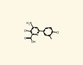 Cc1cc(-c2cc(N)c(Cl)c(C(=O)O)n2)ccc1Cl